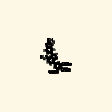 COc1cc(-c2cnc(N)c3c(-c4ccc5sc(C)nc5c4)csc23)cc(OC)c1OC